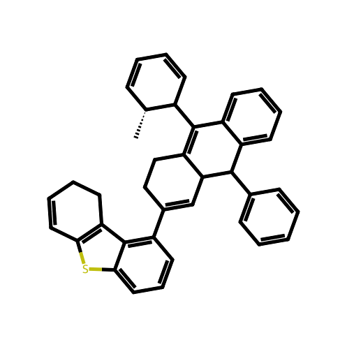 C[C@@H]1C=CC=CC1C1=C2CCC(c3cccc4sc5c(c34)CCC=C5)=CC2C(c2ccccc2)c2ccccc21